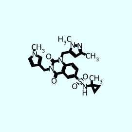 Cc1cc(Cn2c(=O)n(Cc3ccn(C)c3)c(=O)c3cc(S(=O)(=O)NC4(C)CC4)ccc32)n(C)n1